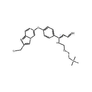 C[Si](C)(C)CCOCN/C(=C\C=N)c1ccc(Oc2ccc3nc(CCl)cn3c2)cc1